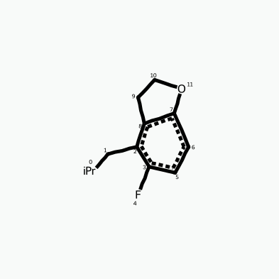 CC(C)Cc1c(F)ccc2c1CCO2